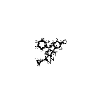 O=C1CCC(C(F)(c2nnc(C3CC3)o2)S(=O)(=O)c2ccccc2)C1